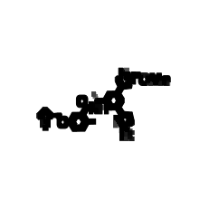 CCn1ccc(-c2cc(-c3cnn(COC)c3)cc([C@@H](C)NC(=O)c3cc(OC[C@@H]4CCN4C)ccc3C)c2)n1